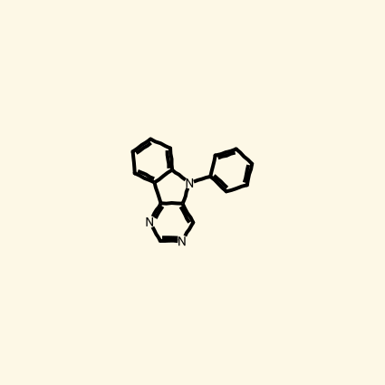 c1ccc(-n2c3ccccc3c3ncncc32)cc1